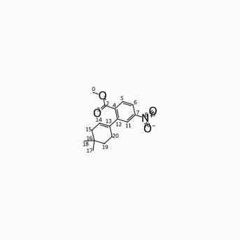 COC(=O)c1ccc([N+](=O)[O-])cc1C1=CCC(C)(C)CC1